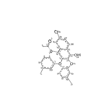 CC(=O)Oc1c(Oc2cccc(C)c2)c(Oc2cccc(C)c2)c(O)c2ccc(Cl)cc12